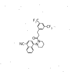 N#Cc1ccc(N2CCCCN2C(=O)CCc2cc(C(F)(F)F)cc(C(F)(F)F)c2)c2ccccc12